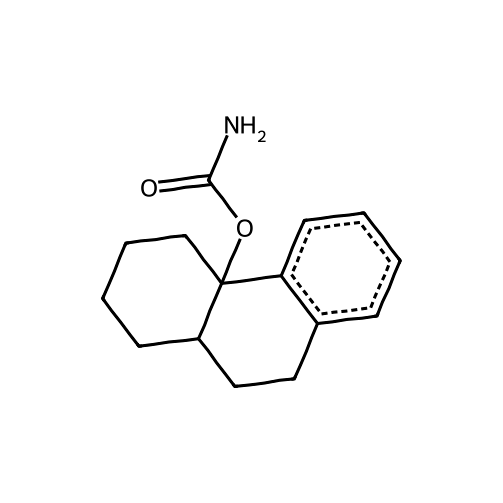 NC(=O)OC12CCCCC1CCc1ccccc12